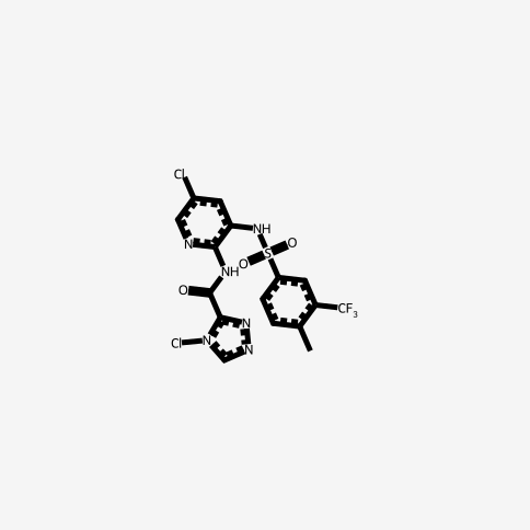 Cc1ccc(S(=O)(=O)Nc2cc(Cl)cnc2NC(=O)c2nncn2Cl)cc1C(F)(F)F